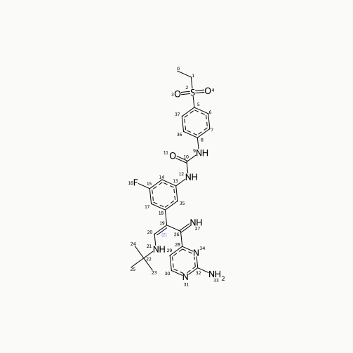 CCS(=O)(=O)c1ccc(NC(=O)Nc2cc(F)cc(/C(=C/NC(C)(C)C)C(=N)c3ccnc(N)n3)c2)cc1